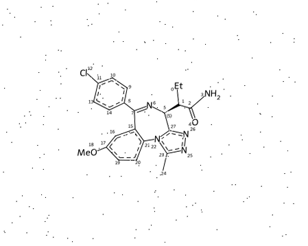 CCC(C(N)=O)[C@@H]1N=C(c2ccc(Cl)cc2)c2cc(OC)ccc2-n2c(C)nnc21